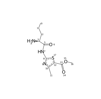 CCC[C@H](N)C(=O)Nc1nc(C)c(C(=O)OC)s1